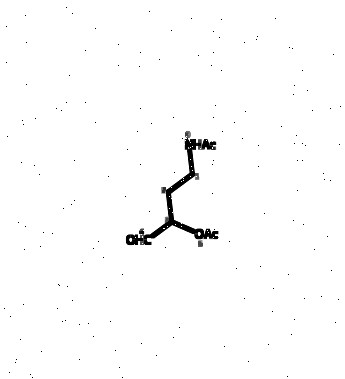 CC(=O)NCCC(C=O)OC(C)=O